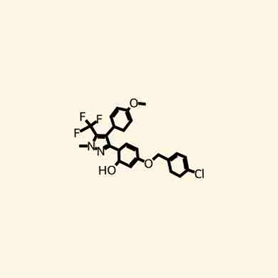 COC1=CCC(c2c(C3C=CC(OCC4=CC=C(Cl)CC4)=CC3O)nn(C)c2C(F)(F)F)C=C1